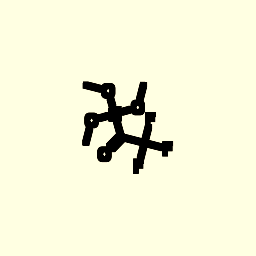 CO[Si](OC)(OC)C(=O)C(F)(F)F